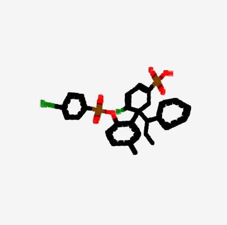 CCC(c1ccccc1)C1(c2cc(C)ccc2OS(=O)(=O)c2ccc(Br)cc2)CC(S(=O)(=O)O)=CC=C1Br